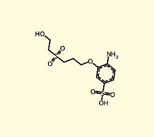 Nc1ccc(S(=O)(=O)O)cc1OCCCS(=O)(=O)CCO